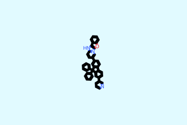 C1=CC2Nc3c(oc4ccccc34)N2C=C1c1ccc2c(c1)C(c1ccccc1)(c1ccccc1)c1cc(-c3cccnc3)ccc1-2